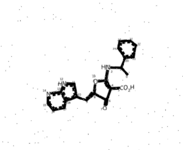 CC(NC1=C(C(=O)O)C(=O)/C(=C/c2c[nH]c3ncccc23)O1)c1ccccc1